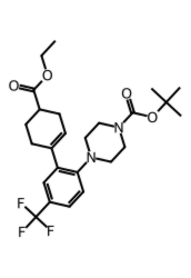 CCOC(=O)C1CC=C(c2cc(C(F)(F)F)ccc2N2CCN(C(=O)OC(C)(C)C)CC2)CC1